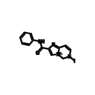 O=C(Nc1ccccc1)C1=C[N+]2CN(I)C=CC2=N1